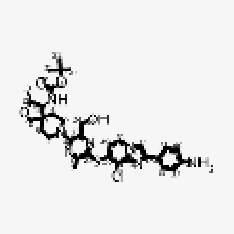 Cc1nc(N2CCC3(CC2)CO[C@@H](C)[C@H]3NC(=O)OC(C)(C)C)c(CO)nc1Sc1ccn2cc(-c3ccc(N)cc3)nc2c1Cl